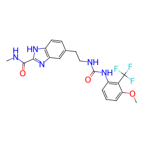 CNC(=O)c1nc2cc(CCNC(=O)Nc3cccc(OC)c3C(F)(F)F)ccc2[nH]1